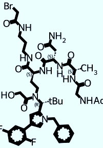 CC(=O)NCC(=O)N[C@@H](C)C(=O)N[C@@H](CC(N)=O)C(=O)N[C@@H](CCN(C(=O)CO)[C@@H](c1cc(-c2cc(F)ccc2F)cn1Cc1ccccc1)C(C)(C)C)C(=O)NCCCNC(=O)CBr